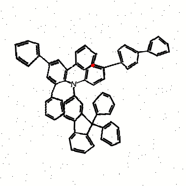 c1ccc(-c2ccc(-c3ccc(N(c4ccc5c(c4)C(c4ccccc4)(c4ccccc4)c4ccccc4-5)c4c(-c5ccccc5)cc(-c5ccccc5)cc4-c4ccccc4)cc3)cc2)cc1